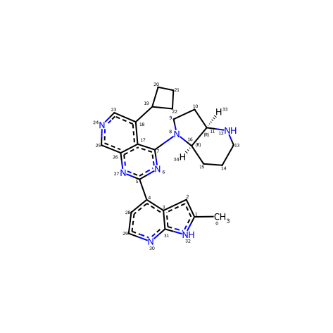 Cc1cc2c(-c3nc(N4CC[C@H]5NCCC[C@H]54)c4c(C5CCC5)cncc4n3)ccnc2[nH]1